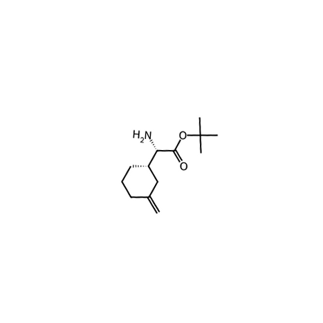 C=C1CCC[C@H]([C@H](N)C(=O)OC(C)(C)C)C1